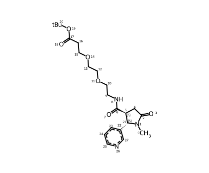 CN1C(=O)C[C@H](C(=O)NCCOCCOCCC(=O)OC(C)(C)C)[C@H]1c1cccnc1